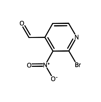 O=Cc1ccnc(Br)c1[N+](=O)[O-]